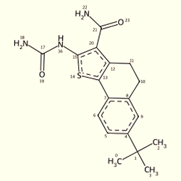 CC(C)(C)c1ccc2c(c1)CCc1c-2sc(NC(N)=O)c1C(N)=O